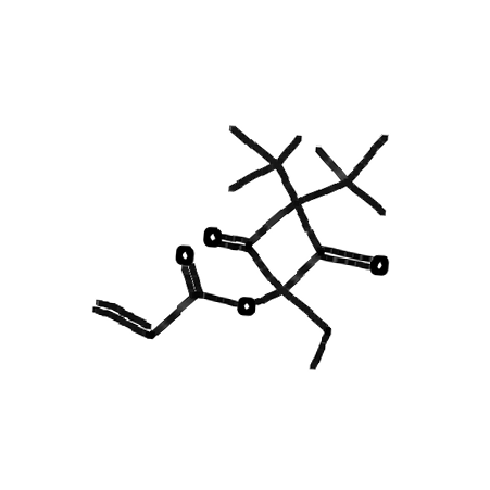 C=CC(=O)OC1(CC)C(=O)C(C(C)(C)C)(C(C)(C)C)C1=O